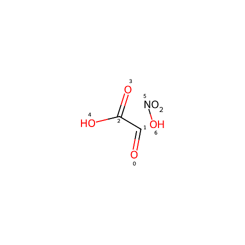 O=CC(=O)O.O=[N+]([O-])O